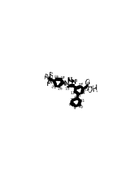 O=C(O)c1cc(-c2ccccc2)cc(-c2cn(-c3ccc(C(F)(F)F)cc3)nn2)c1